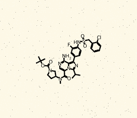 CC(C)c1nc(-c2ccc(NS(=O)(=O)Cc3ccccc3Cl)c(F)c2)c2c(N)ncc(C(=O)N(C)C3CCN(C(=O)OC(C)(C)C)C3)n12